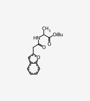 CC(C)COC(=O)C(C)NC(=O)Cc1cc2ccccc2o1